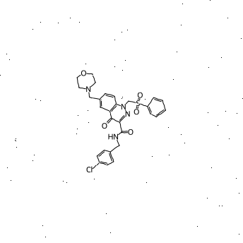 O=C(NCc1ccc(Cl)cc1)c1nn(CS(=O)(=O)c2ccccc2)c2ccc(CN3CCOCC3)cc2c1=O